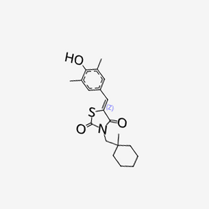 Cc1cc(/C=C2\SC(=O)N(CC3(C)CCCCC3)C2=O)cc(C)c1O